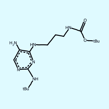 CC(C)(C)Nc1ncc(N)c(NCCCNC(=O)OC(C)(C)C)n1